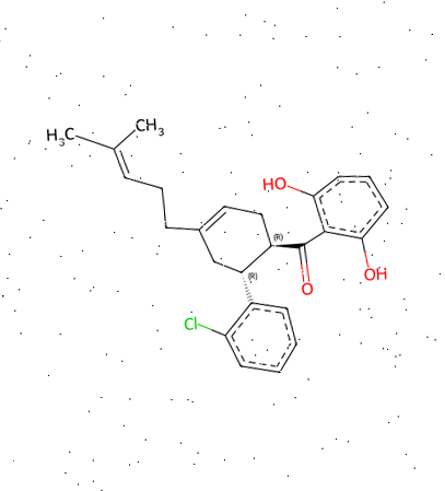 CC(C)=CCCC1=CC[C@@H](C(=O)c2c(O)cccc2O)[C@H](c2ccccc2Cl)C1